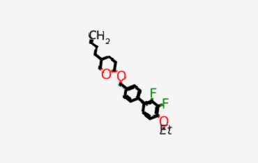 C=CCCC1CCC(OCc2ccc(-c3ccc(OCC)c(F)c3F)cc2)OC1